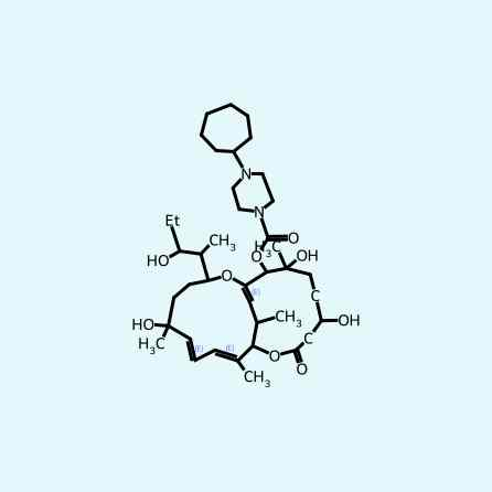 CCC(O)C(C)C1CCC(C)(O)/C=C/C=C(\C)C2OC(=O)CC(O)CCC(C)(O)C(OC(=O)N3CCN(C4CCCCCC4)CC3)/C(=C\C2C)O1